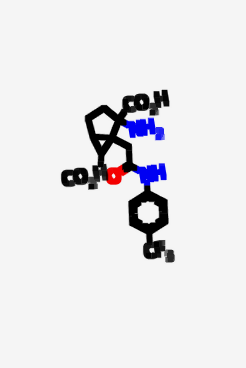 NC1(C(=O)O)CCC2C(C(=O)O)C21CC(=O)Nc1ccc(C(F)(F)F)cc1